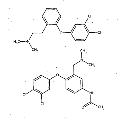 CC(=O)Nc1ccc(Oc2ccc(Cl)c(Cl)c2)c(CN(C)C)c1.CN(C)CCc1ccccc1Oc1ccc(Cl)c(Cl)c1